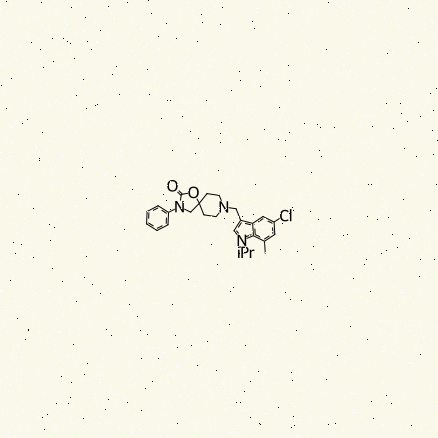 Cc1cc(Cl)cc2c(CN3CCC4(CC3)CN(c3ccccc3)C(=O)O4)cn(C(C)C)c12